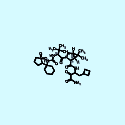 CC(C)(C)[C@H](NC(=O)NC1(C2CCCS2(=O)=O)CCCCC1)C(=O)N1C[C@H]2[C@@H]([C@H]1C(=O)NC(CC1CCC1)C(=O)C(N)=O)C2(C)C